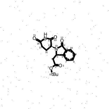 CC(C)(C)OC(=O)CC1c2ccccc2C(=O)N1[C@H]1CCC(=O)NC1=O